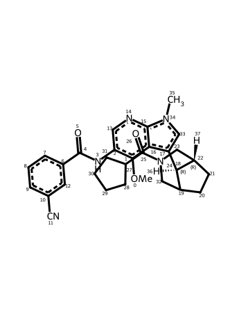 COc1c(NC(=O)c2cccc(C#N)c2)cnc2c1c([C@@H]1C3CC[C@H]1CN(C(=O)C1CCCC1)C3)cn2C